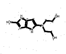 Nc1nc2[nH]c(N(CCO)CCO)cc2[nH]1